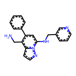 NCc1c(-c2ccccc2)cc(NCc2cccnc2)n2nccc12